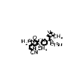 Cn1cncc1/C(=N/OC(C)(C)C)[C@H]1CC[C@@H](N(C)c2c(C#N)c(=O)n(C)c3ccc(C#N)nc23)CC1